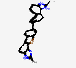 Cc1nc2c([nH]1)-c1ccc(-c3ccc4c(c3)sc3c4ccc4[nH]c(C)nc43)cc1CC2